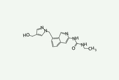 CCNC(=O)Nc1cc2cccc(Cn3cc(CO)cn3)c2cn1